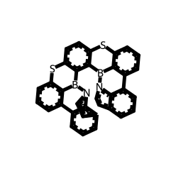 c1cc2c3c(c1)-c1cccc4ccn(c14)B3c1c(ccc3c1B1c4c(cccc4-c4cccc5ccn1c45)S3)S2